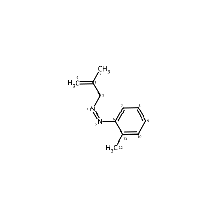 C=C(C)C/N=N\c1ccccc1C